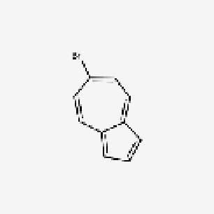 Brc1ccc2cccc-2cc1